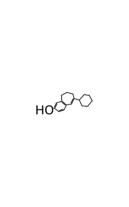 Oc1ccc2c(c1)CCCC(C1CCCCC1)=C2